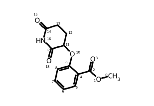 COC(=O)c1ccccc1OC1CCC(=O)NC1=O